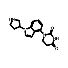 O=C1CCN(c2cccc3c2ccn3C2CCNC2)C(=O)N1